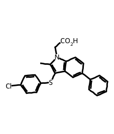 Cc1c(Sc2ccc(Cl)cc2)c2cc(-c3ccccc3)ccc2n1CC(=O)O